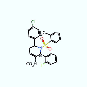 Cc1ccccc1S(=O)(=O)N1C(c2ccc(Cl)cc2)CC=C(C(=O)O)[C@@H]1c1ccccc1F